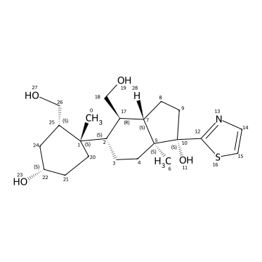 C[C@@]1([C@H]2CC[C@@]3(C)[C@@H](CC[C@@]3(O)c3nccs3)[C@@H]2CO)CC[C@H](O)C[C@@H]1CO